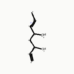 C=CC(O)CC(O)/C=C/C